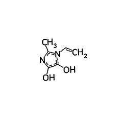 C=Cn1c(C)nc(O)c1O